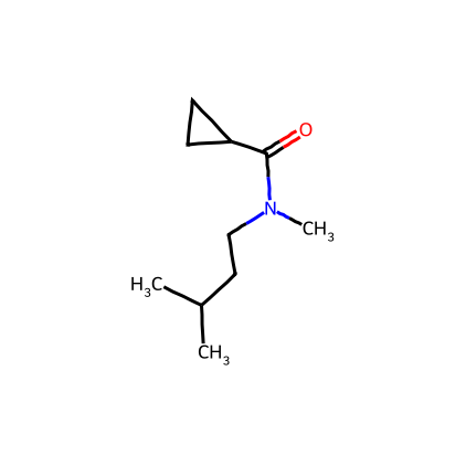 CC(C)CCN(C)C(=O)C1CC1